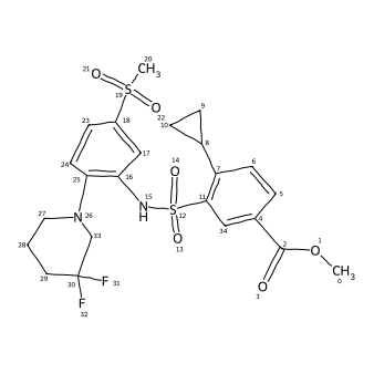 COC(=O)c1ccc(C2CC2)c(S(=O)(=O)Nc2cc(S(C)(=O)=O)ccc2N2CCCC(F)(F)C2)c1